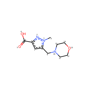 Cn1nc(C(=O)O)cc1CN1CCOCC1